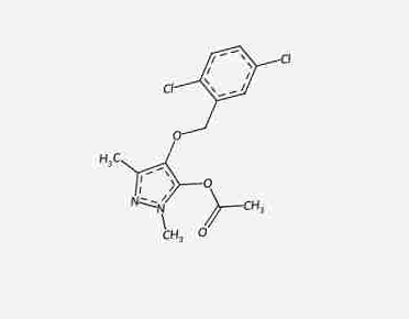 CC(=O)Oc1c(OCc2cc(Cl)ccc2Cl)c(C)nn1C